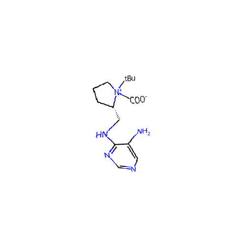 CC(C)(C)[N+]1(C(=O)[O-])CCC[C@H]1CNc1ncncc1N